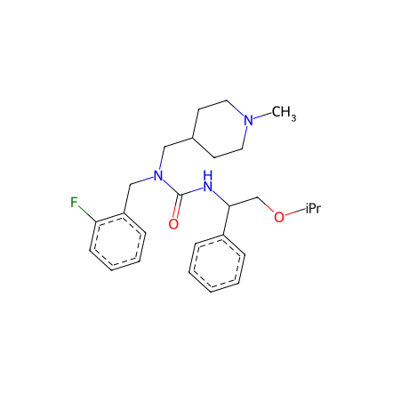 CC(C)OCC(NC(=O)N(Cc1ccccc1F)CC1CCN(C)CC1)c1ccccc1